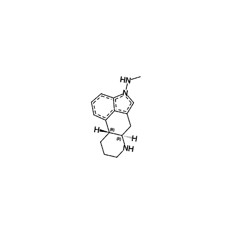 CNn1cc2c3c(cccc31)[C@H]1CCCN[C@@H]1C2